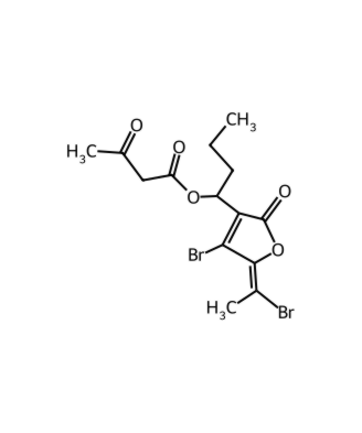 CCCC(OC(=O)CC(C)=O)C1=C(Br)/C(=C(\C)Br)OC1=O